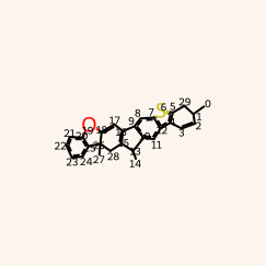 CC1C=Cc2c(sc3cc4c(cc23)C(C)C2=C4C=C3Oc4ccccc4C3(C)C2)C1